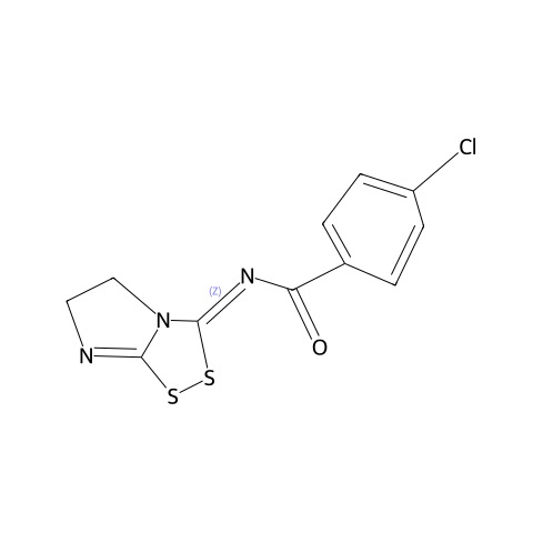 O=C(/N=C1\SSC2=NCCN21)c1ccc(Cl)cc1